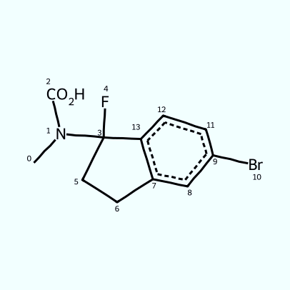 CN(C(=O)O)C1(F)CCc2cc(Br)ccc21